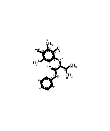 Cc1cc(OC(C(=O)Nc2ccccc2)C(C)C)c(Cl)c(C)c1Cl